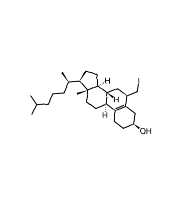 CC(C)CCC[C@@H](C)[C@H]1CC[C@H]2[C@@H]3CC(CI)C4=C(CC[C@H](O)C4)[C@H]3CC[C@]12C